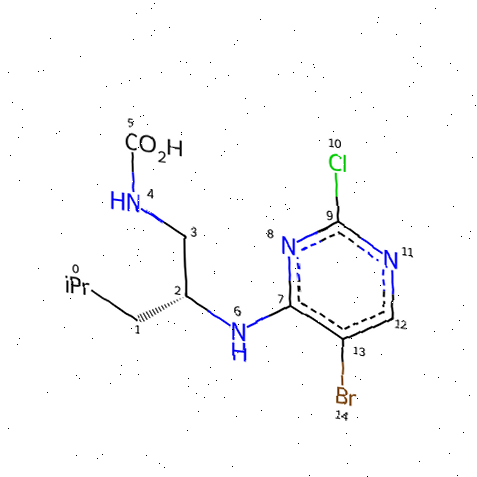 CC(C)C[C@H](CNC(=O)O)Nc1nc(Cl)ncc1Br